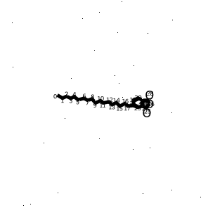 CCCCCCCCCCCCCCCCCCc1ccc2c(c1)C(=O)OC2=O